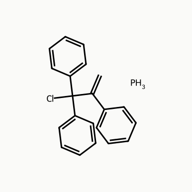 C=C(c1ccccc1)C(Cl)(c1ccccc1)c1ccccc1.P